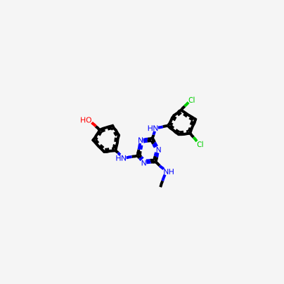 CNc1nc(Nc2ccc(O)cc2)nc(Nc2cc(Cl)cc(Cl)c2)n1